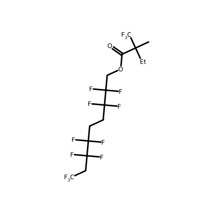 CCC(C)(C(=O)OCC(F)(F)C(F)(F)CCC(F)(F)C(F)(F)CC(F)(F)F)C(F)(F)F